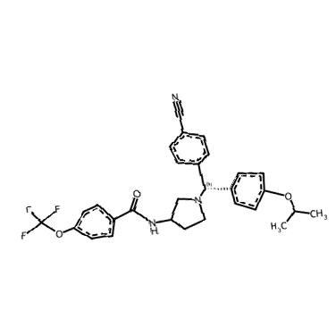 CC(C)Oc1ccc([C@@H](c2ccc(C#N)cc2)N2CCC(NC(=O)c3ccc(OC(F)(F)F)cc3)C2)cc1